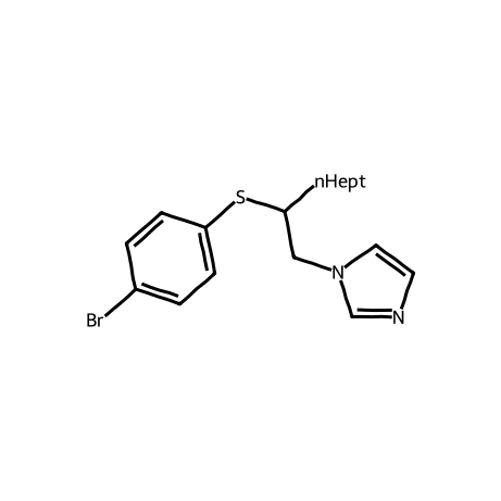 CCCCCCCC(Cn1ccnc1)Sc1ccc(Br)cc1